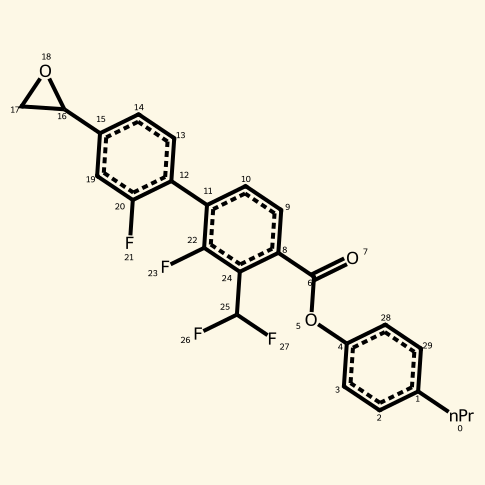 CCCc1ccc(OC(=O)c2ccc(-c3ccc(C4CO4)cc3F)c(F)c2C(F)F)cc1